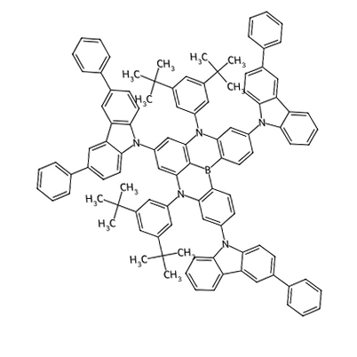 CC(C)(C)c1cc(N2c3cc(-n4c5ccccc5c5cc(-c6ccccc6)ccc54)ccc3B3c4ccc(-n5c6ccccc6c6cc(-c7ccccc7)ccc65)cc4N(c4cc(C(C)(C)C)cc(C(C)(C)C)c4)c4cc(-n5c6ccc(-c7ccccc7)cc6c6cc(-c7ccccc7)ccc65)cc2c43)cc(C(C)(C)C)c1